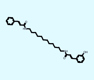 O=C(C=Cc1ccccc1)NCCCCCCCCCCCCNC(=O)C=Cc1cccc(O)c1